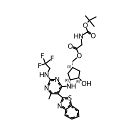 Cc1nc(NCC(F)(F)F)nc(N[C@@H]2C[C@H](COC(=O)CNC(=O)OC(C)(C)C)C[C@H]2O)c1-c1nc2ccccc2s1